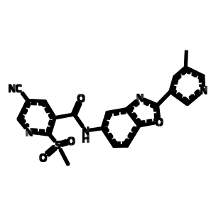 Cc1cncc(-c2nc3cc(NC(=O)c4cc(C#N)cnc4S(C)(=O)=O)ccc3o2)c1